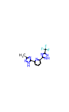 Cc1n[nH]c(-c2cccc(-c3nc(C(F)(F)F)n[nH]3)n2)n1